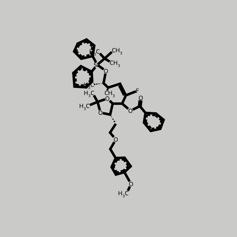 COc1ccc(COCC[C@@H]2OC(C)(C)OC2C(OC(=O)c2ccccc2)/C(F)=C\[C@@H](C)[C@H](C)O[Si](c2ccccc2)(c2ccccc2)C(C)(C)C)cc1